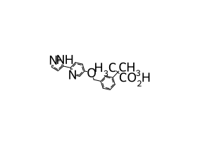 CC(C)(C(=O)O)c1cccc(COc2ccc(-c3ccn[nH]3)nc2)c1